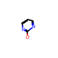 [O]c1ncccn1